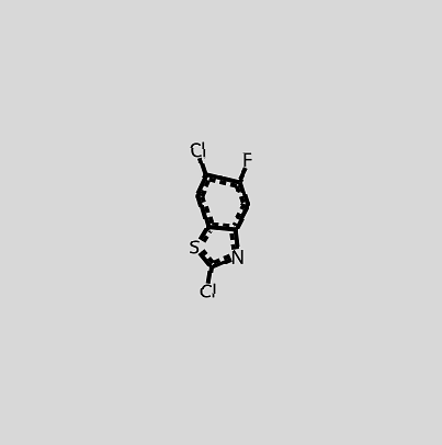 Fc1cc2nc(Cl)sc2cc1Cl